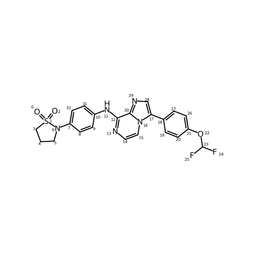 O=S1(=O)CCCN1c1ccc(Nc2nccn3c(-c4ccc(OC(F)F)cc4)cnc23)cc1